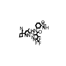 Cc1cc(C2(C#N)CCC2)nnc1Oc1nnc(C(F)(F)F)c(C)c1C(=O)Nc1cccc(S(C)(=N)=O)c1